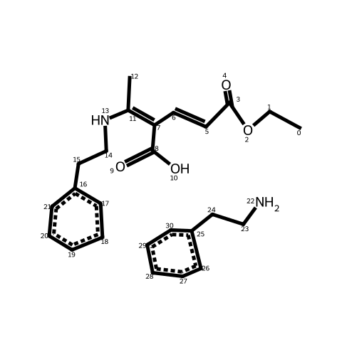 CCOC(=O)C=CC(C(=O)O)=C(C)NCCc1ccccc1.NCCc1ccccc1